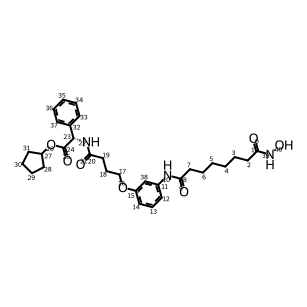 O=C(CCCCCCC(=O)Nc1cccc(OCCCC(=O)N[C@H](C(=O)OC2CCCC2)c2ccccc2)c1)NO